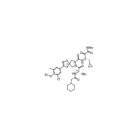 CCOc1c(C)cc(C2=NO[C@]3(C2)C[C@@H](C(=O)N[C@@H](CC2CC2)C(=O)C(=O)NC)N(C(=O)[C@@H](NC(=O)CC2CCCCC2)C(C)(C)C)C3)cc1Cl